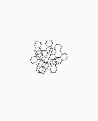 c1ccc(C(c2ccc3cccc4c5cccc6cccc(c2c34)c65)(c2ccc3cccc4c5cccc6cccc(c2c34)c65)C(c2ccccc2)(c2ccc3cccc4c5cccc6cccc(c2c34)c65)c2ccc3cccc4c5cccc6cccc(c2c34)c65)cc1